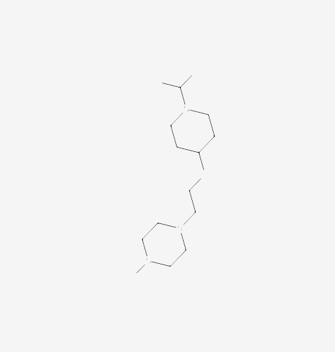 CC(C)N1CCC(OCCN2CCN(C)CC2)CC1